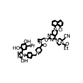 CCC(=O)N1CCN(c2nc(OCC3CCN3C(=O)C3CCN(Cc4ccc(-n5c(O)nnc5-c5cc(C(C)C)c(O)cc5O)cc4)CC3)nc3c2CCN(c2cccc4cccc(Cl)c24)C3)CC1CC#N